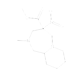 COC(=O)C1([N+](=O)[O-])CN(C)CC2CCCCN2C1